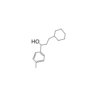 Cc1ccc(C(O)CCC2CCCCC2)cc1